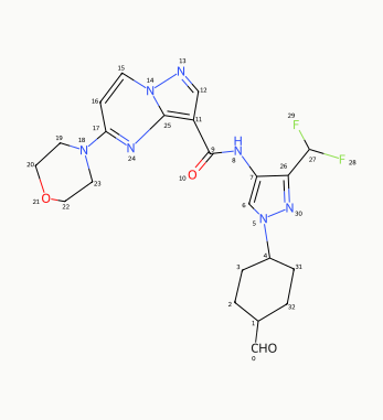 O=CC1CCC(n2cc(NC(=O)c3cnn4ccc(N5CCOCC5)nc34)c(C(F)F)n2)CC1